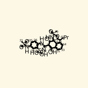 CC(C)CC[C@@]1(NS(C)(=O)=O)C(=O)C(C2=NS(O)(O)c3cc(NS(C)(=O)=O)ccc3N2)=C(O)c2ccccc21